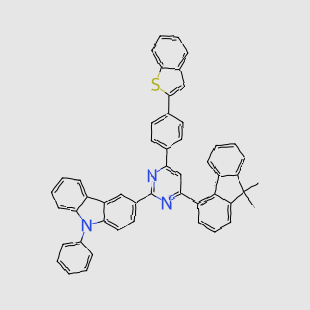 CC1(C)c2ccccc2-c2c(-c3cc(-c4ccc(-c5cc6ccccc6s5)cc4)nc(-c4ccc5c(c4)c4ccccc4n5-c4ccccc4)n3)cccc21